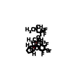 CN(C)CC1(COc2nc(N3C[C@H]4CC[C@@H](C3)N4C(=O)OC(C)(C)C)c3cc(F)c(Br)c(F)c3n2)CC1(F)F